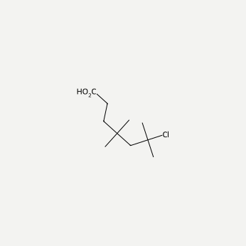 CC(C)(Cl)CC(C)(C)CCC(=O)O